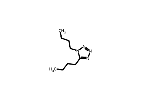 CCCCc1nnnn1CCCC